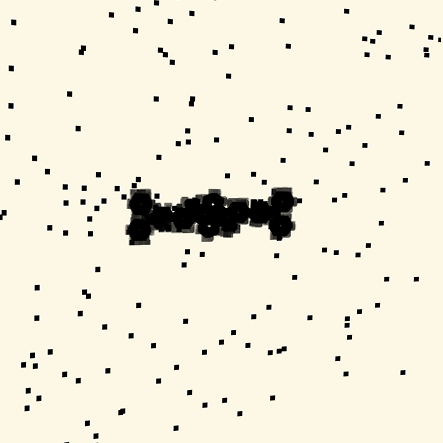 CC1(C)c2cc(-c3ccc(N(c4ccccc4)c4ccccc4)cn3)ccc2-c2c1c1c3c(c4c(c5c3c2CCC5)C(C)(C)c2cc(-c3ccc(N(c5ccccc5)c5ccccc5)cn3)ccc2-4)CCC1